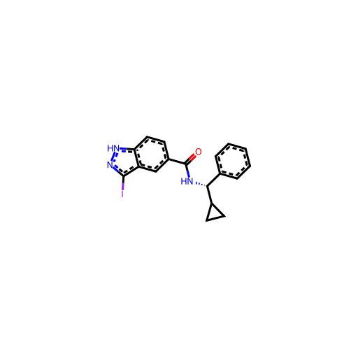 O=C(N[C@H](c1ccccc1)C1CC1)c1ccc2[nH]nc(I)c2c1